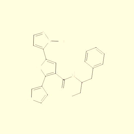 Cn1nccc1-c1cc(C(=O)NC(Cc2ccccc2)CC(C)(C)C)c(-c2ccoc2)s1